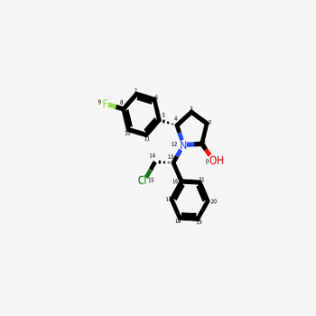 OC1CC[C@@H](c2ccc(F)cc2)N1[C@@H](CCl)c1ccccc1